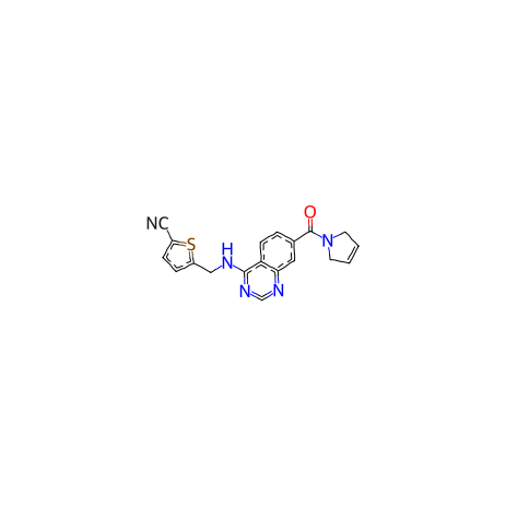 N#Cc1ccc(CNc2ncnc3cc(C(=O)N4CC=CC4)ccc23)s1